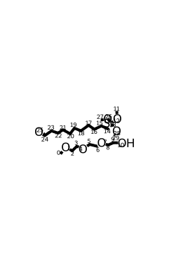 COCCOCCOCCO.CO[Si](CCCCCCCCCCC=O)(OC)OC